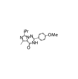 COc1ccc(-c2nn3c(C(C)C)nc(C)c3c(=O)[nH]2)cc1